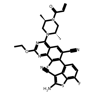 C=CC(=O)N1C[C@H](C)N(c2nc(OCC)nc3c(F)c(-c4ccc(F)c5sc(N)c(C#N)c45)c(C#N)cc23)C[C@H]1C